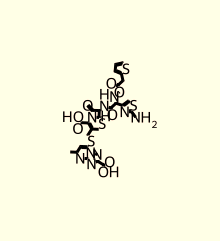 Cc1cc(SCC2=C(C(=O)O)N3C(=O)[C@@H](NC(=O)C(=NOC(=O)Cc4cccs4)c4csc(N)n4)[C@H]3SC2)n2nc(C(=O)O)nc2n1